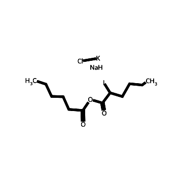 CCCCCC(=O)OC(=O)C(I)CCCC.[Cl][K].[NaH]